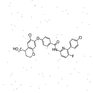 O=C(Nc1ccc(F)c(-c2ccc(Cl)cc2)n1)c1ccc(Oc2cc3c(cc2Cl)C(C(=O)O)CCO3)cc1